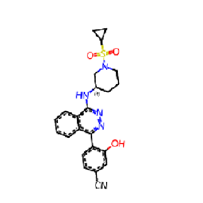 N#Cc1ccc(-c2nnc(N[C@@H]3CCCN(S(=O)(=O)C4CC4)C3)c3ccccc23)c(O)c1